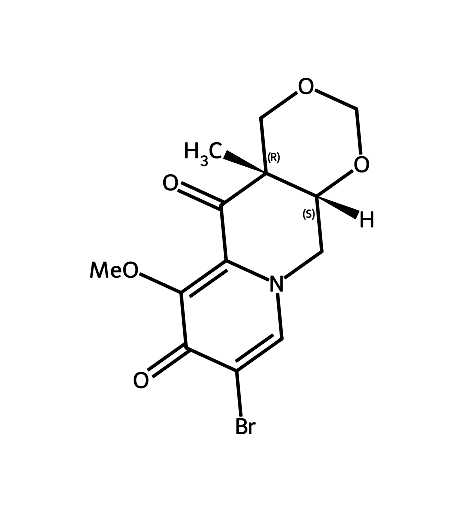 COc1c2n(cc(Br)c1=O)C[C@H]1OCOC[C@@]1(C)C2=O